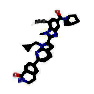 COc1cc(C(=O)N2CC3CCC2[C@@H]3C)cc2nc(-c3cc4ccc(-c5ccc6c(c5)CCNC6=O)nc4n3CC3CC3)n(C)c12